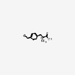 N[C@@H](Cc1ccc(CCl)cc1)C(=O)O